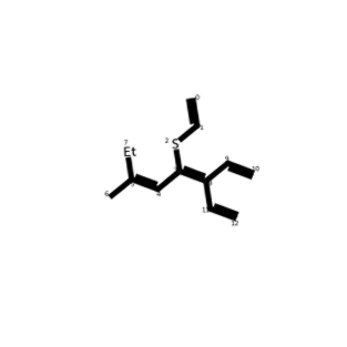 C=CSC(/C=C(/C)CC)=C(C=C)C=C